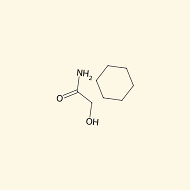 C1CCCCC1.NC(=O)CO